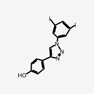 Oc1ccc(-c2cn(-c3cc(I)cc(I)c3)nn2)cc1